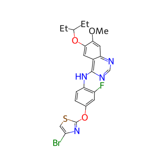 CCC(CC)Oc1cc2c(Nc3ccc(Oc4nc(Br)cs4)cc3F)ncnc2cc1OC